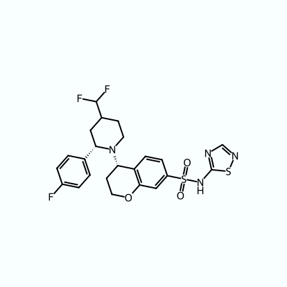 O=S(=O)(Nc1ncns1)c1ccc2c(c1)OCC[C@@H]2N1CCC(C(F)F)C[C@H]1c1ccc(F)cc1